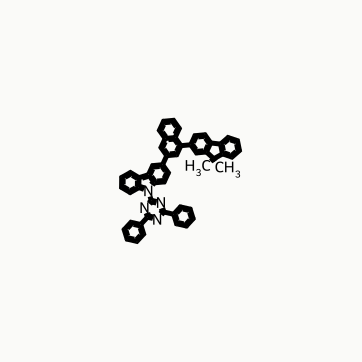 CC1(C)c2ccccc2-c2ccc(-c3cc(-c4ccc5c(c4)c4ccccc4n5-c4nc(-c5ccccc5)nc(-c5ccccc5)n4)cc4ccccc34)cc21